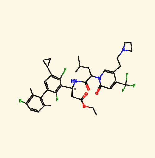 CCOC(=O)C[C@H](NC(=O)C(CC(C)C)n1cc(CCN2CCC2)c(C(F)(F)F)cc1=O)c1c(F)c(-c2c(C)ccc(F)c2C)cc(C2CC2)c1F